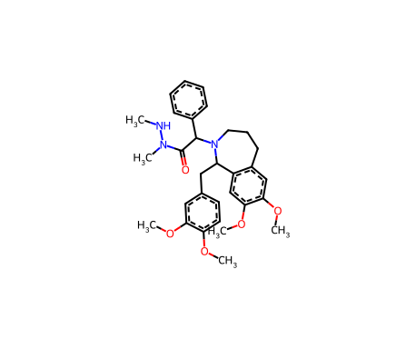 CNN(C)C(=O)C(c1ccccc1)N1CCCc2cc(OC)c(OC)cc2C1Cc1ccc(OC)c(OC)c1